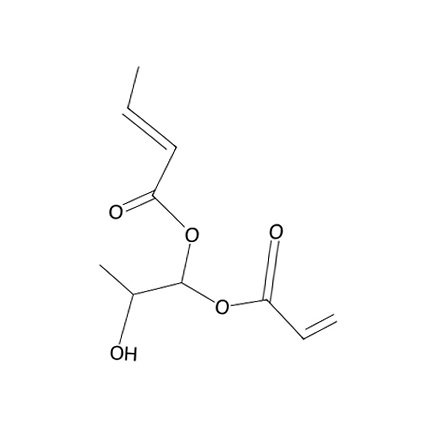 C=CC(=O)OC(OC(=O)C=CC)C(C)O